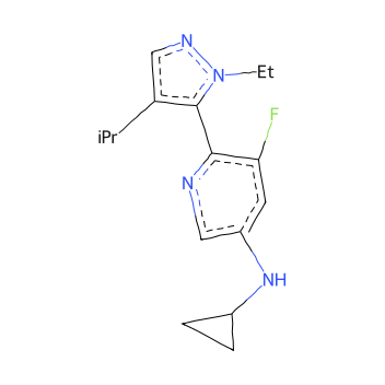 CCn1ncc(C(C)C)c1-c1ncc(NC2CC2)cc1F